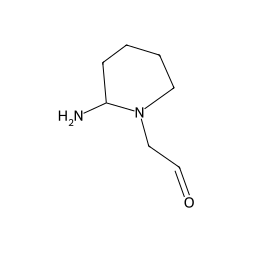 NC1CCCCN1CC=O